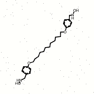 ONCc1ccc(OCCCCCCCCCCCCOc2ccc(CNO)cc2)cc1